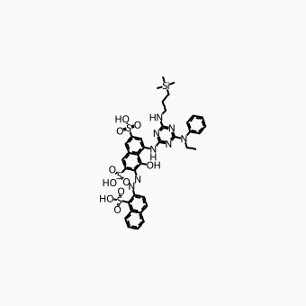 CCN(c1ccccc1)c1nc(NCCC[Si](C)(C)C)nc(Nc2cc(S(=O)(=O)O)cc3cc(S(=O)(=O)O)c(/N=N/c4ccc5ccccc5c4S(=O)(=O)O)c(O)c23)n1